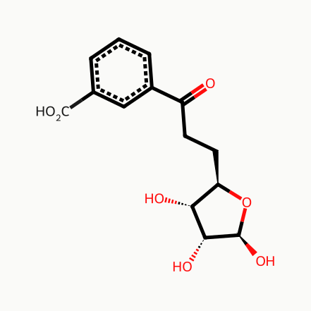 O=C(O)c1cccc(C(=O)CC[C@H]2O[C@@H](O)[C@H](O)[C@@H]2O)c1